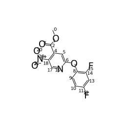 COC(=O)c1cc(Oc2ccc(F)cc2F)ncc1[N+](=O)[O-]